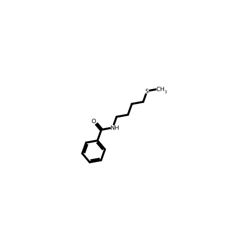 CSCCCCNC(=O)c1ccccc1